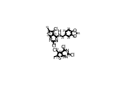 Cc1sc2nc(Cl)nc(Cl)c2c1Cl.Cc1sc2nc(Cl)nc(NCc3ccc4c(c3)OCO4)c2c1Cl